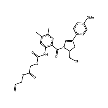 C=CCOC(=O)COC(=O)Nc1cc(C)c(C)cc1C(=O)N1C=C(c2ccc(OC)cc2)C[C@H]1CO